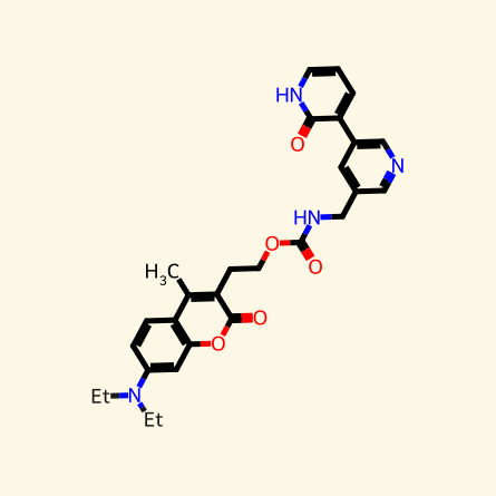 CCN(CC)c1ccc2c(C)c(CCOC(=O)NCc3cncc(-c4ccc[nH]c4=O)c3)c(=O)oc2c1